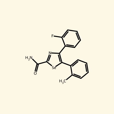 Cc1ccccc1-c1[se]c(C(N)=O)nc1-c1ccccc1F